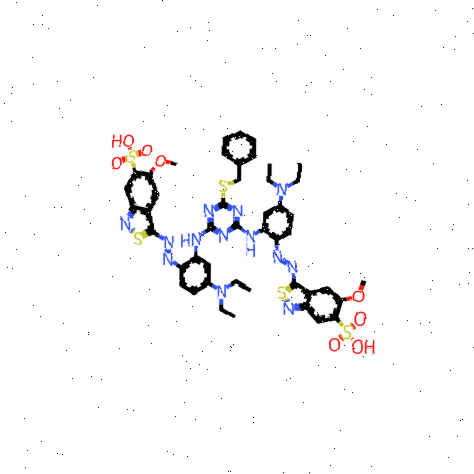 CCN(CC)c1ccc(/N=N/c2snc3cc(S(=O)(=O)O)c(OC)cc23)c(Nc2nc(Nc3cc(N(CC)CC)ccc3/N=N/c3snc4cc(S(=O)(=O)O)c(OC)cc34)nc(SCc3ccccc3)n2)c1